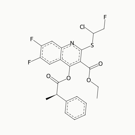 CCOC(=O)c1c(SC(Cl)CF)nc2cc(F)c(F)cc2c1OC(=O)[C@H](C)c1ccccc1